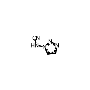 N#CNn1ccnn1